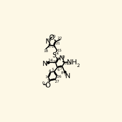 COc1ccc(-c2c(C#N)c(N)nc(SCc3c(C)noc3C)c2C#N)cc1